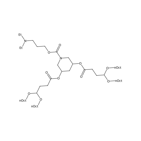 CCCCCCCCOC(CCC(=O)OC1CC(OC(=O)CCC(OCCCCCCCC)OCCCCCCCC)CN(C(=O)OCCCN(CC)CC)C1)OCCCCCCCC